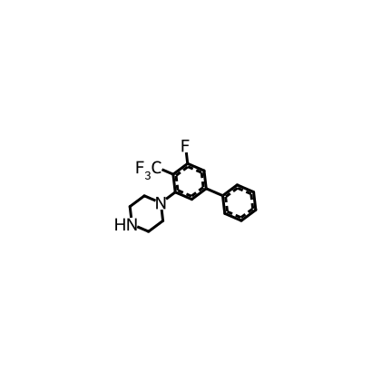 Fc1cc(-c2ccccc2)cc(N2CCNCC2)c1C(F)(F)F